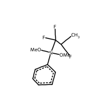 CO[Si](OC)(c1ccccc1)C(F)(F)C(C)F